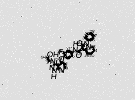 C[C@H](O)CNc1n[nH]c2nccc(Oc3ccc(NC(=O)c4c5n(n(-c6ccccc6)c4=O)CCCC5)cc3F)c12